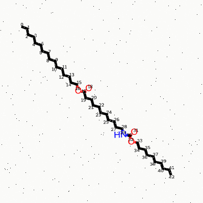 CCCCCCCCCCCCCCCCOC(=O)CCCCCCCCCCNC(=O)OCCCCCCCCCC